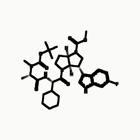 COC(=O)N1C[C@H](c2c[nH]c3cc(F)ccc23)[C@@H]2[C@H]1CCN2C(=O)[C@@H](NC(=O)[C@H](C)N(C)C(=O)OC(C)(C)C)C1CCCCC1